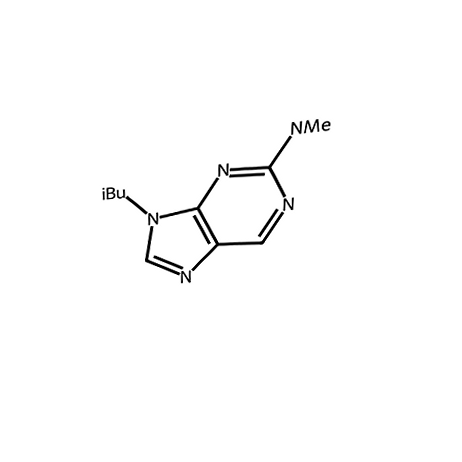 CCC(C)n1cnc2cnc(NC)nc21